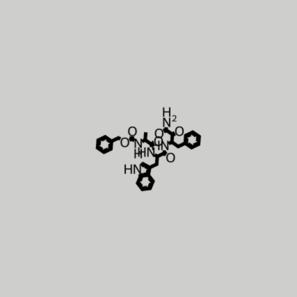 CC(NC(=O)OCc1ccccc1)C(=O)NC(Cc1c[nH]c2ccccc12)C(=O)NC(Cc1ccccc1)C(=O)C(N)=O